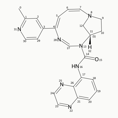 Cc1cc(C2=CC=CN3CC[C@@H](C3)N(C(=O)Nc3cccc4nccnc34)C=N2)ccn1